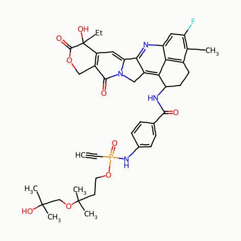 C#CP(=O)(Nc1ccc(C(=O)NC2CCc3c(C)c(F)cc4nc5c(c2c34)Cn2c-5cc3c(c2=O)COC(=O)C3(O)CC)cc1)OCCC(C)(C)OCC(C)(C)O